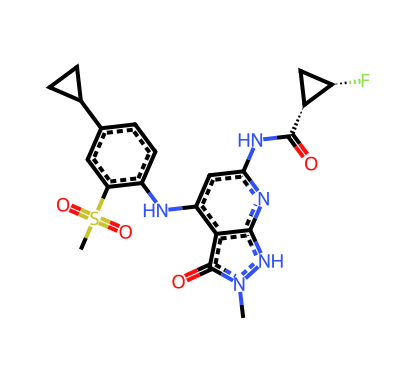 Cn1[nH]c2nc(NC(=O)[C@@H]3C[C@@H]3F)cc(Nc3ccc(C4CC4)cc3S(C)(=O)=O)c2c1=O